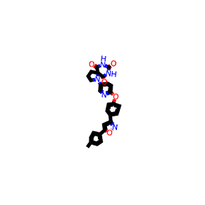 Cc1ccc(-c2cc(-c3ccc(Oc4ccc(N5CCCC56C(=O)NC(=O)NC6=O)cn4)cc3)no2)cc1